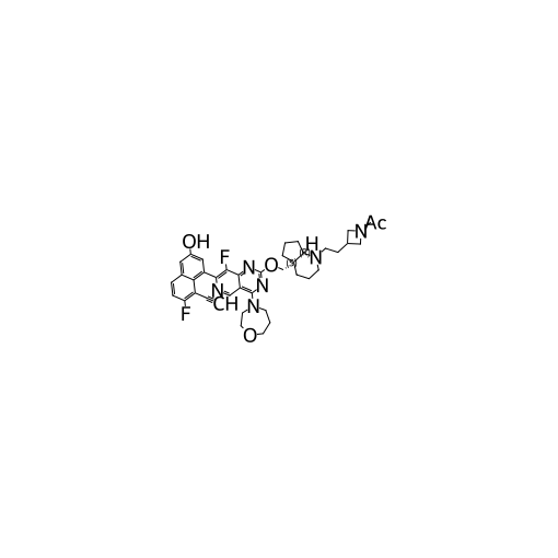 C#Cc1c(F)ccc2cc(O)cc(-c3ncc4c(N5CCCOCC5)nc(OC[C@]56CCC[C@H]5N(CCC5CN(C(C)=O)C5)CCC6)nc4c3F)c12